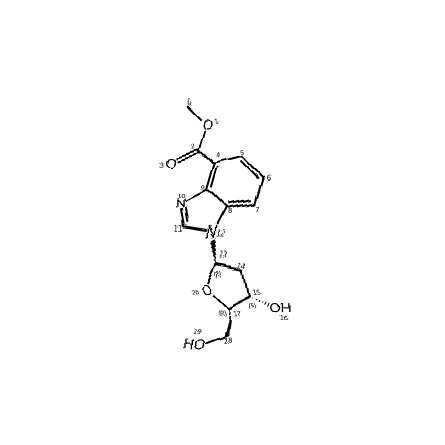 COC(=O)c1cccc2c1ncn2[C@H]1C[C@H](O)[C@@H](CO)O1